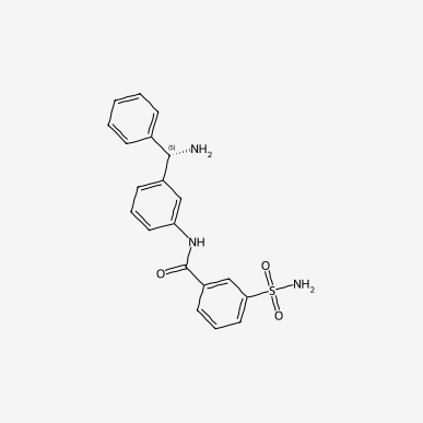 N[C@@H](c1ccccc1)c1cccc(NC(=O)c2cccc(S(N)(=O)=O)c2)c1